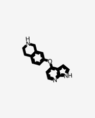 c1cc(Oc2ccc3c(c2)CNCC3)c2cc[nH]c2n1